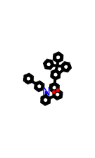 c1ccc(-c2ccc(N(c3cccc(-c4ccc5c(c4)-c4ccccc4C5(c4ccccc4)c4ccccc4)c3)c3ccccc3-c3ccccc3)cc2)cc1